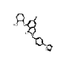 O=C1c2c(cc(F)cc2OC2CCCCC2O)CN1Cc1ccc(-n2cccn2)cc1